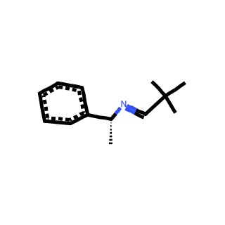 C[C@@H](N=CC(C)(C)C)c1ccccc1